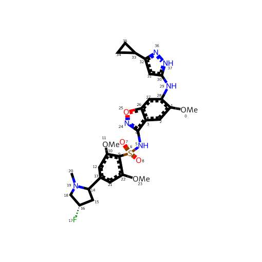 COc1cc2c(NS(=O)(=O)c3c(OC)cc(C4C[C@H](F)CN4C)cc3OC)noc2cc1Nc1cc(C2CC2)n[nH]1